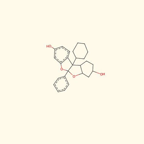 Oc1ccc2c(c1)OC1(c3ccccc3)OC3CC(O)CCC3C21C1CCCCC1